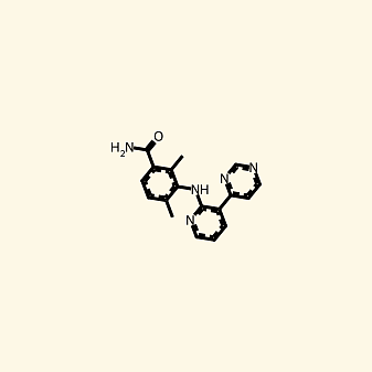 Cc1ccc(C(N)=O)c(C)c1Nc1ncccc1-c1ccncn1